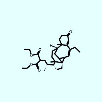 CCOC(=O)C(C[C@@H](C)[C@H]1CC[C@@]23C4/C=C(/CC)C5=CC(=O)CCC5(C)[C@@H](CCC12C)CC43)C(=O)OCC